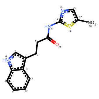 O=C(CCc1c[nH]c2ccccc12)Nc1ncc([N+](=O)[O-])s1